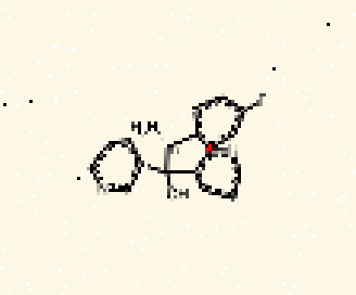 N[C@H](c1ccc(F)cc1)C(O)(c1cccnc1)c1cccnc1